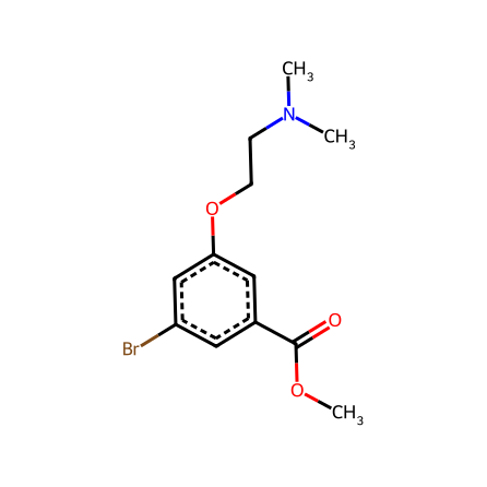 COC(=O)c1cc(Br)cc(OCCN(C)C)c1